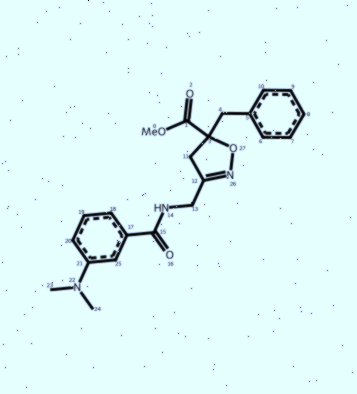 COC(=O)C1(Cc2ccccc2)CC(CNC(=O)c2cccc(N(C)C)c2)=NO1